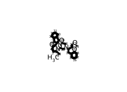 CCc1cccc(C2(N3CCN(C(Cc4ccccc4)C4=COCO4)CC3)C(=O)c3ccccc3C2=O)n1